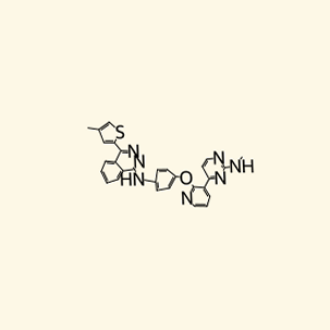 CNc1nccc(-c2cccnc2Oc2ccc(Nc3nnc(-c4cc(C)cs4)c4ccccc34)cc2)n1